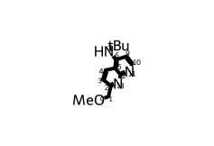 COCc1ccc2c(NC(C)(C)C)ccnc2n1